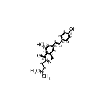 CN(C)CCn1ncc2cc(C=Cc3ccc(O)cc3)ccc2c1=O.Cl